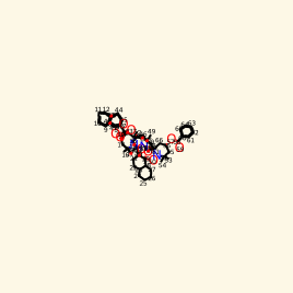 CC1(C)CC(OC(=O)c2ccccc2)CC(C)(C)N1OC1CCC2CCCCC2C1(ON1C(C)(C)CC(OC(=O)c2ccccc2)CC1(C)C)ON1C(C)(C)CC(OC(=O)c2ccccc2)CC1(C)C